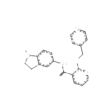 CC(=O)N1CCc2cc(NC(=O)c3cccnc3SCc3ccncc3)ccc21